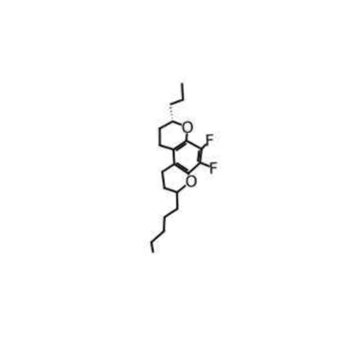 CCCCCC1CCc2c3c(c(F)c(F)c2O1)O[C@@H](CCC)CC3